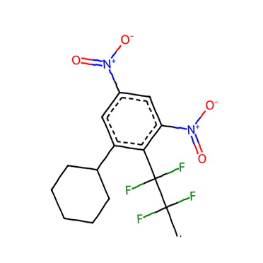 [CH2]C(F)(F)C(F)(F)c1c(C2CCCCC2)cc([N+](=O)[O-])cc1[N+](=O)[O-]